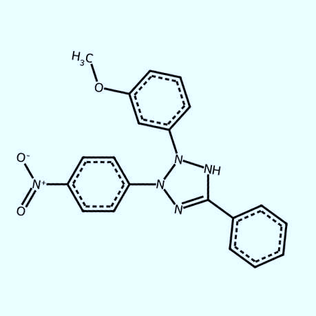 COc1cccc(N2NC(c3ccccc3)=NN2c2ccc([N+](=O)[O-])cc2)c1